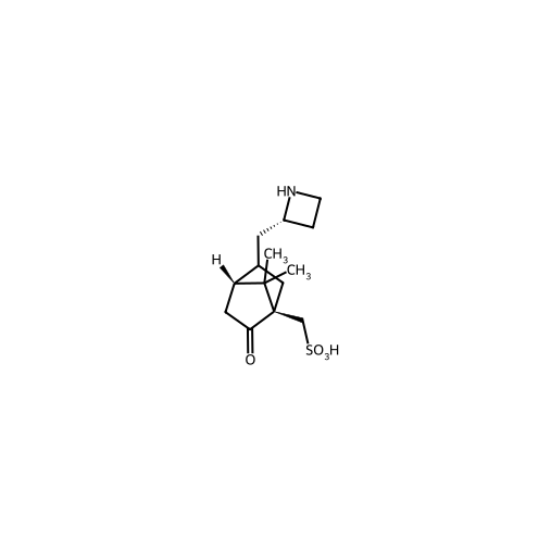 CC1(C)[C@@H]2CC(=O)[C@@]1(CS(=O)(=O)O)CC2C[C@H]1CCN1